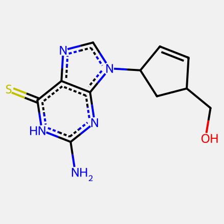 Nc1nc2c(ncn2C2C=CC(CO)C2)c(=S)[nH]1